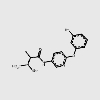 CC(C)c1cccc(Oc2ccc(NC(=O)C(C)N(C(=O)O)C(C)(C)C)cn2)c1